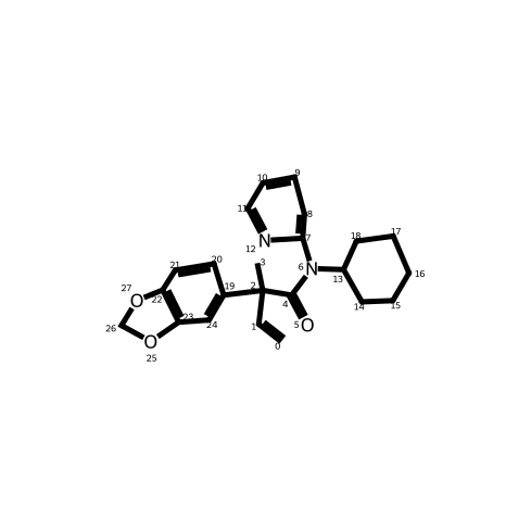 C=CC(C)(C(=O)N(c1ccccn1)C1CCCCC1)c1ccc2c(c1)OCO2